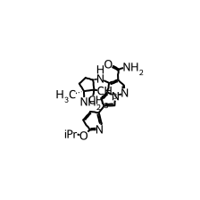 CC(C)Oc1ccc(-c2cc3c(N[C@@H]4CC[C@](C)(N)C4(C)C)c(C(N)=O)cnn3c2)cn1